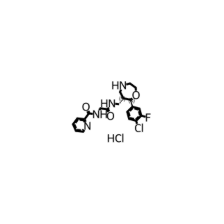 Cl.O=C(CNC(=O)c1ccccn1)NC[C@@H]1CNCCO[C@H]1c1ccc(Cl)c(F)c1